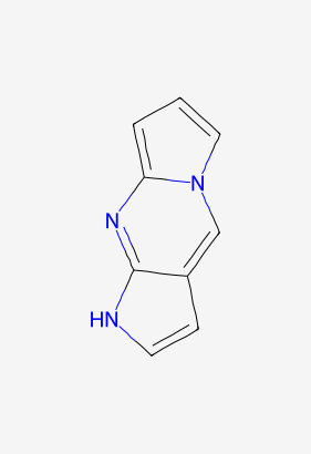 c1cc2nc3[nH]ccc3cn2c1